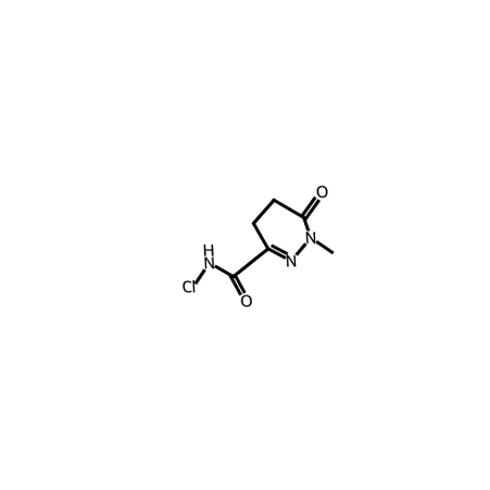 CN1N=C(C(=O)NCl)CCC1=O